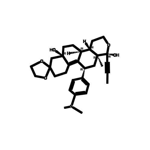 CC#C[C@]1(O)OCC[C@H]2[C@@H]3CC[C@@]4(O)CC5(CCC4=C3[C@@H](c3ccc(N(C)C)cc3)C[C@@]21C)OCCO5